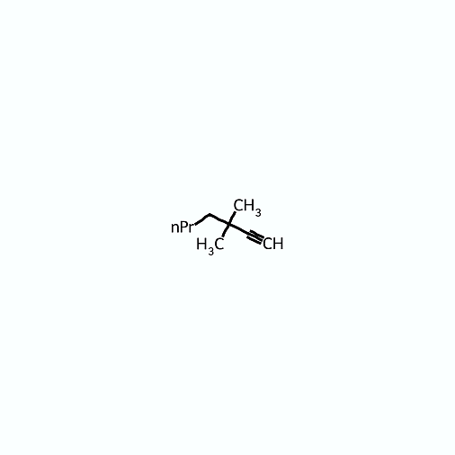 C#CC(C)(C)CCC[CH2]